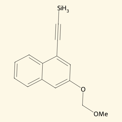 COCOc1cc(C#C[SiH3])c2ccccc2c1